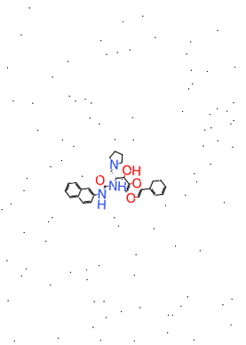 O=C(Nc1ccc2ccccc2c1)N[C@H](CN1CCCC1)[C@@H](O)C1=COC=C(C2=CC=CCC2)O1